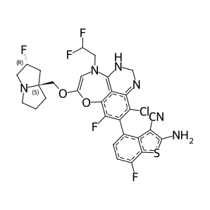 N#Cc1c(N)sc2c(F)ccc(-c3c(F)c4c5c(c3Cl)=NCNC=5N(CC(F)F)C=C(OC[C@@]35CCCN3C[C@H](F)C5)O4)c12